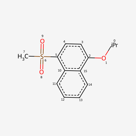 CC(C)Oc1ccc(S(C)(=O)=O)c2ccccc12